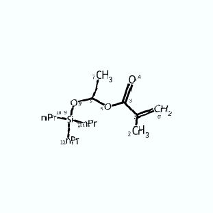 C=C(C)C(=O)OC(C)O[Si](CCC)(CCC)CCC